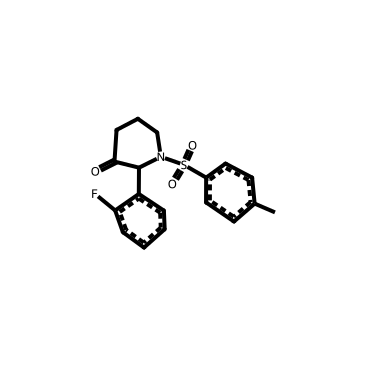 Cc1ccc(S(=O)(=O)N2CCCC(=O)C2c2ccccc2F)cc1